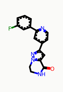 O=C1NCCn2nc(-c3ccnc(-c4cccc(F)c4)c3)cc21